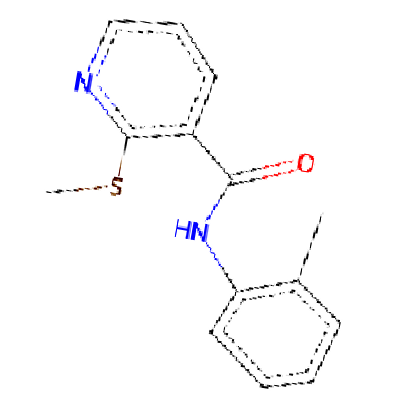 CSc1ncccc1C(=O)Nc1ccccc1C